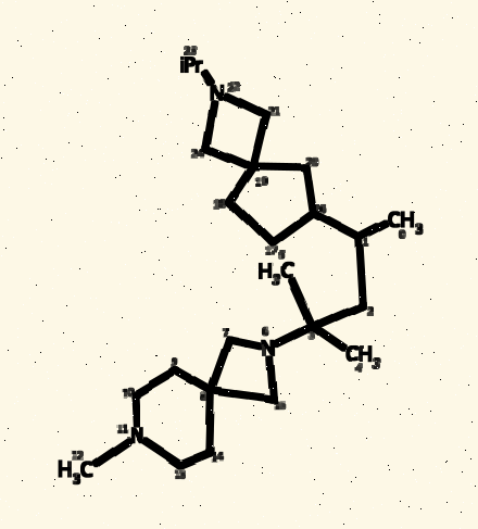 CC(CC(C)(C)N1CC2(CCN(C)CC2)C1)C1CCC2(C1)CN(C(C)C)C2